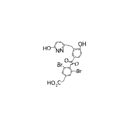 O=C(O)Cc1cc(Br)c(S(=O)(=O)c2ccc(O)c(Cc3ccc(O)nn3)c2)c(Br)c1